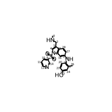 CNCc1cn(S(=O)(=O)c2cccnc2)c2cc(Nc3ccc(O)cc3C)ccc12